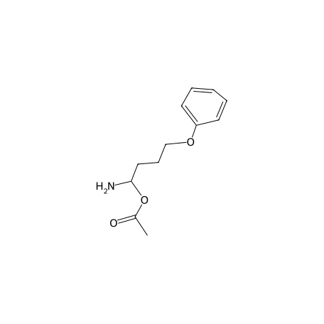 CC(=O)OC(N)CCCOc1ccccc1